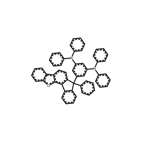 c1ccc(N(c2ccccc2)c2cc(N(c3ccccc3)c3ccccc3)cc(C3(c4ccccc4)c4ccccc4-c4c3ccc3c4oc4ccccc43)c2)cc1